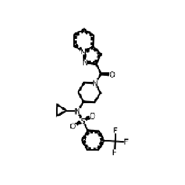 O=C(c1cc2ccccn2n1)N1CCC(N(C2CC2)S(=O)(=O)c2cccc(C(F)(F)F)c2)CC1